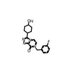 O=c1c2nnc(C3CCC(O)CC3)n2ccn1Cc1cccc(F)c1